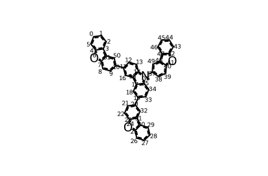 c1ccc2c(c1)oc1ccc(-c3ccc4c(c3)c3cc(-c5ccc6oc7ccccc7c6c5)ccc3n4-c3ccc4oc5ccccc5c4c3)cc12